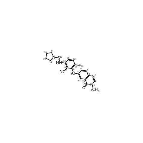 Cn1cnc2ccc(Oc3c(F)ccc(NSN4CCCC4)c3C#N)cc2c1=O